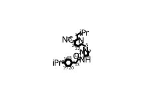 CC(C)Cc1nc(Cn2ccc(NC(=O)Cc3ccc(C(C)C)cc3)n2)ccc1C#N